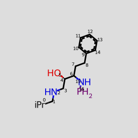 CC(C)CNC[C@@H](O)C(CCc1ccccc1)NP